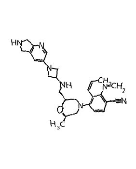 C=Nc1c(C#N)ccc(N2C[C@H](CNC3CN(c4cnc5c(c4)CNC5)C3)O[C@H](C)C2)c1/C=C\C